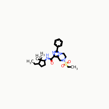 CCC1CCC(NC(=O)c2nc(-c3ccccc3)n3c2CN(S(=O)(=O)CC)CC3)C1(C)C